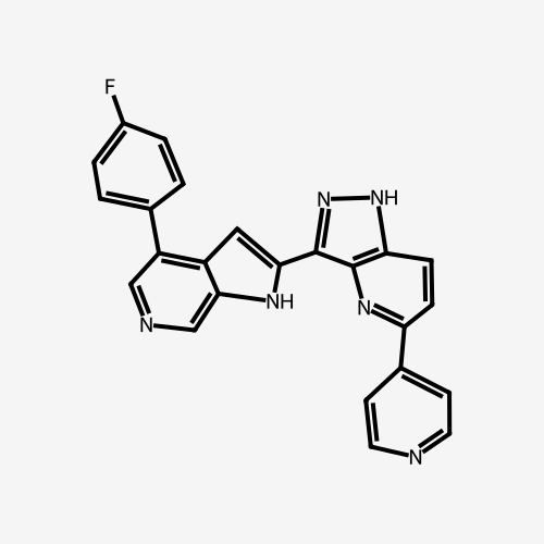 Fc1ccc(-c2cncc3[nH]c(-c4n[nH]c5ccc(-c6ccncc6)nc45)cc23)cc1